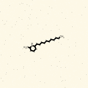 CCCCCCCCCCCC1CCCC(C)N1